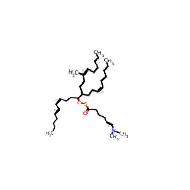 CCCC/C=C/C=C\CCC(OSC(=O)CCC/C=C/N(C)C)C(CC/C=C\CCCCC)CC/C(C)=C\CCCCC